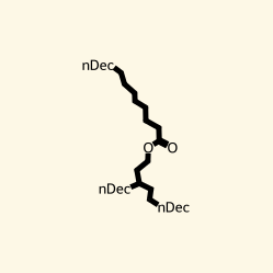 CCCCCCCCCCCCCCCCCC(=O)OCCC(CCCCCCCCCC)CCCCCCCCCCCC